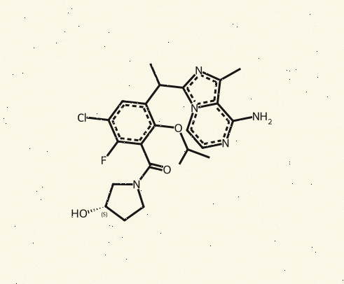 Cc1nc(C(C)c2cc(Cl)c(F)c(C(=O)N3CC[C@H](O)C3)c2OC(C)C)n2ccnc(N)c12